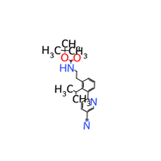 CC(C)c1c(CCNC(=O)OC(C)(C)C)cccc1-c1ccc(C#N)cn1